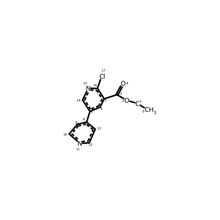 CCOC(=O)c1cc(-c2ccncc2)cnc1Cl